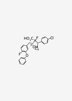 O=C(O)[C@](F)(C(c1ccc(Cl)cc1)C1CC1)[C@H](O)Cc1ccc(F)c(Oc2ccccc2)c1